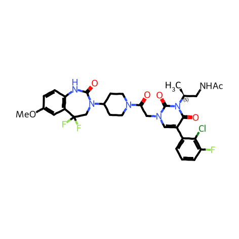 COc1ccc2c(c1)C(F)(F)CN(C1CCN(C(=O)Cn3cc(-c4cccc(F)c4Cl)c(=O)n([C@@H](C)CNC(C)=O)c3=O)CC1)C(=O)N2